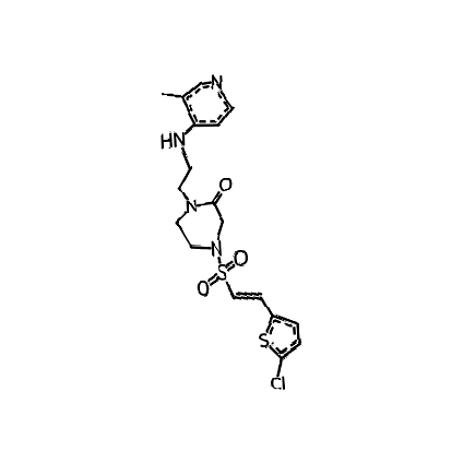 Cc1cnccc1NCCN1CCN(S(=O)(=O)C=Cc2ccc(Cl)s2)CC1=O